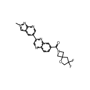 Cn1cc2cc(-c3cnc4ccc(C(=O)N5CC6(C5)CC(F)(F)CO6)cc4n3)cnc2n1